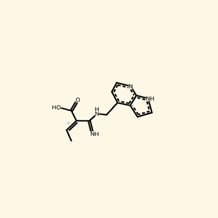 C/C=C(\C(=N)NCc1ccnc2[nH]ccc12)C(=O)O